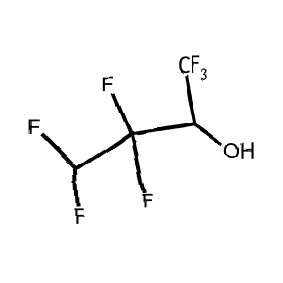 OC(C(F)(F)F)C(F)(F)C(F)F